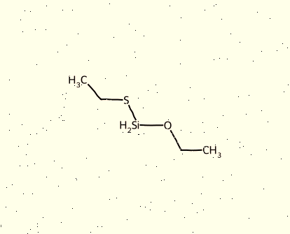 CCO[SiH2]SCC